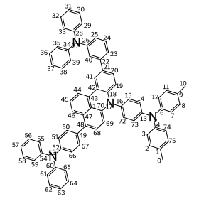 Cc1ccc(N(c2ccc(C)cc2)c2ccc(N3c4ccc(-c5cccc(N(c6ccccc6)c6ccccc6)c5)cc4-c4cccc5c(-c6ccc(N(c7ccccc7)c7ccccc7)cc6)ccc3c45)cc2)cc1